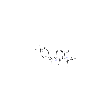 C=C(C)C(/C(C)=C(\I)[C@H](C)C1CCC(C)(C)CC1)=C(/C)CCC